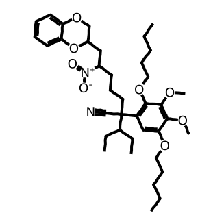 CCCCCOc1cc(C(C#N)(CCCC(CC2COc3ccccc3O2)[N+](=O)[O-])C(CC)CC)c(OCCCCC)c(OC)c1OC